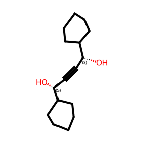 O[C@H](C#C[C@@H](O)C1CCCCC1)C1CCCCC1